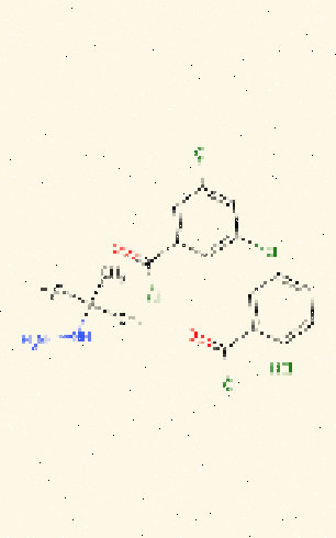 CC(C)(C)NN.Cl.O=C(Cl)c1cc(Cl)cc(Cl)c1.O=C(Cl)c1ccccc1